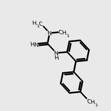 Cc1cccc(-c2ccccc2NC(=N)N(C)C)c1